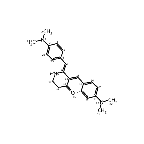 CN(C)c1ccc(C=C2NCCC(=O)C2=Cc2ccc(N(C)C)cc2)cc1